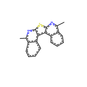 Cc1nc2sc3nc(C)c4ccccc4c3c2c2ccccc12